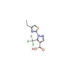 O=C(O)c1cnn(-c2nc(CI)cs2)c1C(F)(F)F